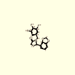 O=C1CSC(c2cccc3c2OCO3)N1Cc1cc(F)c(F)c(F)c1